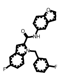 O=C(Nc1ccc2occc2c1)c1cc2cc(F)ccc2n1Cc1cccc(F)c1